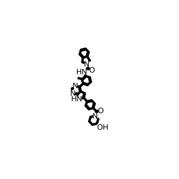 Cc1c(NC(=O)N2Cc3ccccc3C2)cccc1-c1ncnc2[nH]c(-c3ccc(C(=O)N4CCCC(O)C4)cc3)cc12